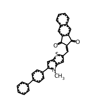 Cn1c(-c2ccc(-c3ccccc3)cc2)cc2sc(C=C3C(=O)c4cc5ccccc5cc4C3=O)cc21